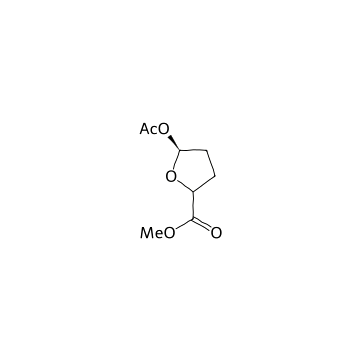 COC(=O)C1CC[C@H](OC(C)=O)O1